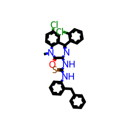 CN1C(=O)C(NC(=S)Nc2ccccc2Cc2ccccc2)N=C(c2ccccc2Cl)c2cc(Cl)ccc21